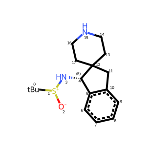 CC(C)(C)[S+]([O-])N[C@H]1c2ccccc2CC12CCNCC2